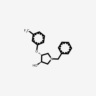 O[C@@H]1CN(Cc2ccccc2)C[C@H]1Oc1cccc(C(F)(F)F)c1